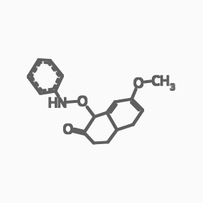 COC1=CCC2CCC(=O)C(ONc3ccccc3)C2=C1